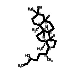 CC[C@H](O)CC[C@@H](C)[C@H]1CC[C@H]2[C@@H]3CC[C@H]4C[C@@](C)(O)CC[C@]4(C)[C@H]3CC[C@]12C